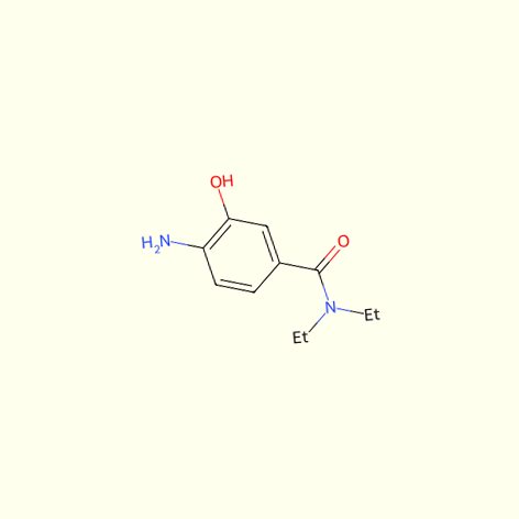 CCN(CC)C(=O)c1ccc(N)c(O)c1